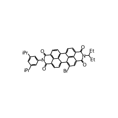 CCC(CC)N1C(=O)c2ccc3c4ccc5c6c(ccc(c7c(Br)cc(c2c37)C1=O)c64)C(=O)N(c1cc(C(C)C)cc(C(C)C)c1)C5=O